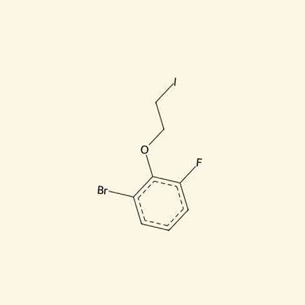 Fc1cccc(Br)c1OCCI